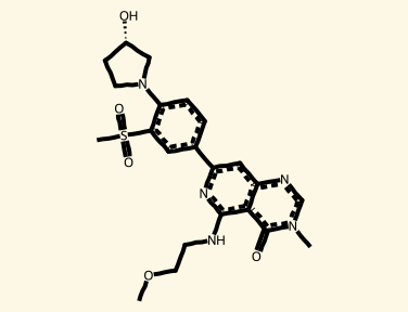 COCCNc1nc(-c2ccc(N3CC[C@H](O)C3)c(S(C)(=O)=O)c2)cc2ncn(C)c(=O)c12